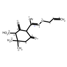 C=CCO/N=C(\CCC)C1C(=O)CC(C)(C)C(C(=O)O)C1=O